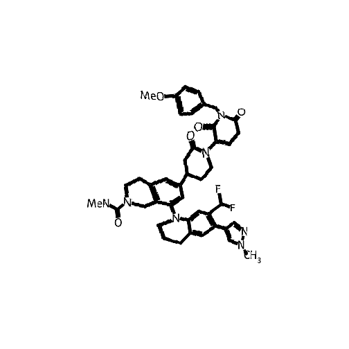 CNC(=O)N1CCc2cc(C3CCN(C4CCC(=O)N(Cc5ccc(OC)cc5)C4=O)C(=O)C3)cc(N3CCCc4cc(-c5cnn(C)c5)c(C(F)F)cc43)c2C1